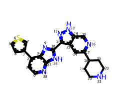 c1cc(-c2ccsc2)c2nc(-c3n[nH]c4cnc(C5CCNCC5)cc34)[nH]c2n1